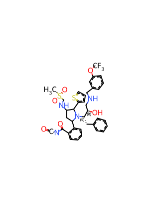 CS(=O)(=O)CNC1CC(c2ccccc2C(=O)N=C=O)N([C@@H](Cc2ccccc2)[C@H](O)CNCc2cccc(OC(F)(F)F)c2)C1c1cccs1